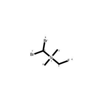 C[Si](C)(CF)C(Br)Br